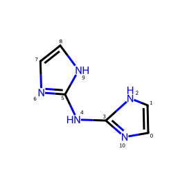 c1c[nH]c(Nc2ncc[nH]2)n1